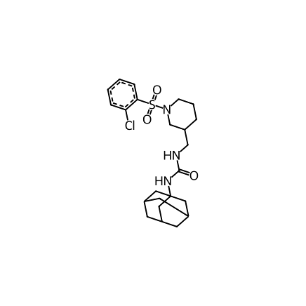 O=C(NCC1CCCN(S(=O)(=O)c2ccccc2Cl)C1)NC12CC3CC(CC(C3)C1)C2